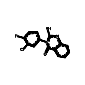 O=c1c2ccccc2nc(S)n1-c1ccc(F)c(Cl)c1